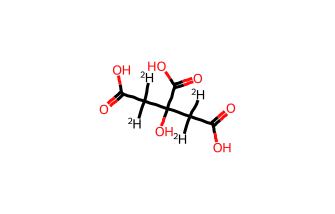 [2H]C([2H])(C(=O)O)C(O)(C(=O)O)C([2H])([2H])C(=O)O